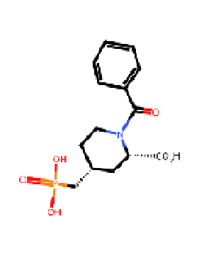 O=C(O)[C@@H]1C[C@H](CP(=O)(O)O)CCN1C(=O)c1ccccc1